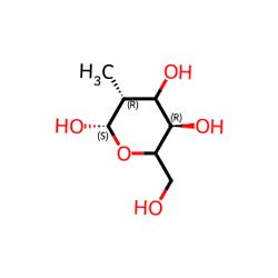 C[C@@H]1C(O)[C@@H](O)C(CO)O[C@@H]1O